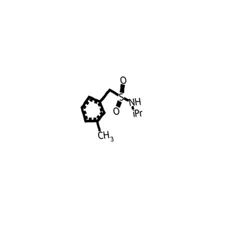 Cc1cccc(CS(=O)(=O)NC(C)C)c1